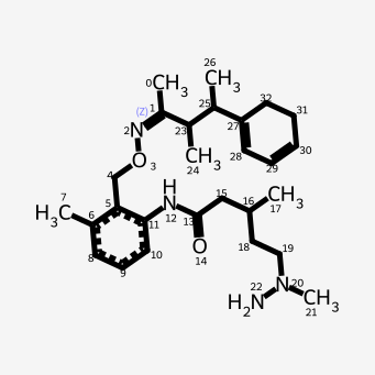 C/C(=N/OCc1c(C)cccc1NC(=O)CC(C)CCN(C)N)C(C)C(C)C1=CC=CCC1